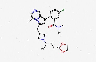 Cc1cncc2c(-c3ccc(F)cc3C(=O)N(C)C(C)C)cc(CC3CN([C@@H](CCC4OCCO4)C(C)C)C3)n12